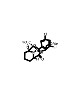 COCCN1C[C@H](C(=O)O)[C@H]2CCC[C@@H](C1=O)N2S(=O)(=O)c1cc(Cl)cc(Cl)c1